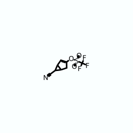 N#CC1C2C=C(OS(=O)(=O)C(F)(F)F)CC12